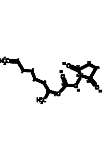 C=CCCCCC(C)OC(=O)ON1C(=O)CCC1=O